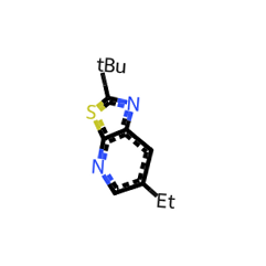 CCc1cnc2sc(C(C)(C)C)nc2c1